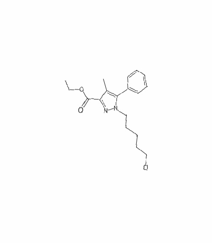 CCOC(=O)c1nn(CCCCCCl)c(-c2ccccc2)c1C